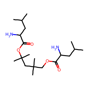 CC(C)CC(N)C(=O)OCC(C)(C)CC(C)(C)OC(=O)C(N)CC(C)C